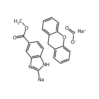 COC(=O)c1ccc2[nH][c]([Na])nc2c1.O=P[O-].[Na+].c1ccc2c(c1)Cc1ccccc1O2